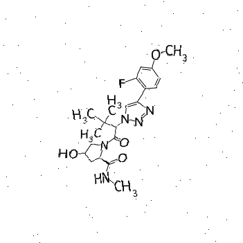 CNC(=O)[C@H]1CC(O)CN1C(=O)C(n1cc(-c2ccc(OC)cc2F)nn1)C(C)(C)C